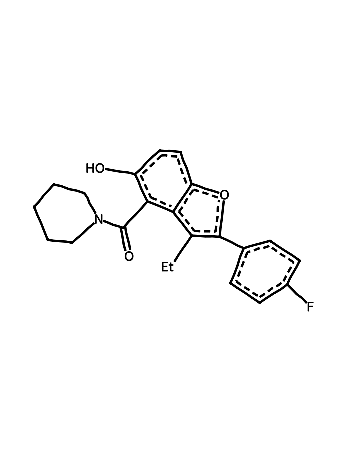 CCc1c(-c2ccc(F)cc2)oc2ccc(O)c(C(=O)N3CCCCC3)c12